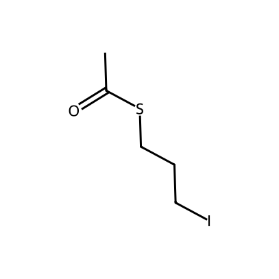 CC(=O)SCCCI